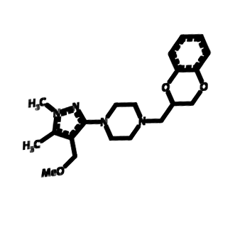 COCc1c(N2CCN(CC3COc4ccccc4O3)CC2)nn(C)c1C